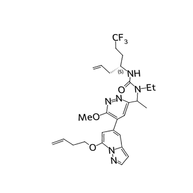 C=CCCOc1cc(-c2cc(C(C)N(CC)C(=O)N[C@H](CC=C)CCC(F)(F)F)nnc2OC)cc2ccnn12